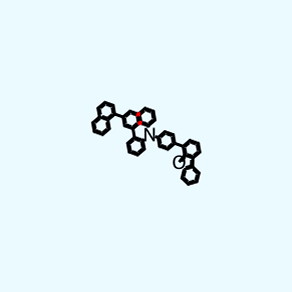 c1ccc(N(c2ccc(-c3cccc4c3oc3ccccc34)cc2)c2ccccc2-c2cccc(-c3cccc4ccccc34)c2)cc1